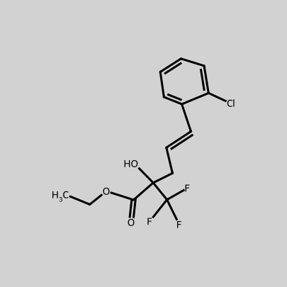 CCOC(=O)C(O)(C/C=C/c1ccccc1Cl)C(F)(F)F